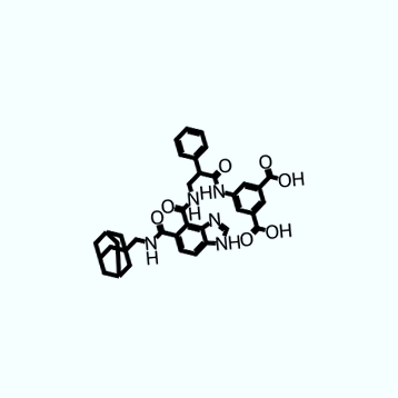 O=C(O)c1cc(NC(=O)C(CNC(=O)c2c(C(=O)NCC34CC5CC(CC(C5)C3)C4)ccc3[nH]cnc23)c2ccccc2)cc(C(=O)O)c1